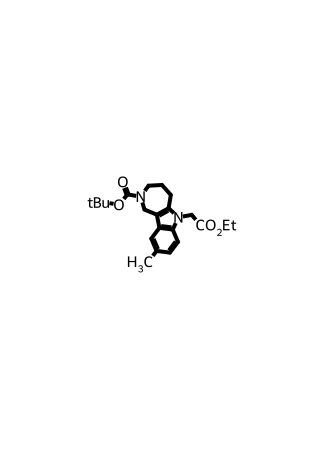 CCOC(=O)Cn1c2c(c3cc(C)ccc31)CN(C(=O)OC(C)(C)C)CCC2